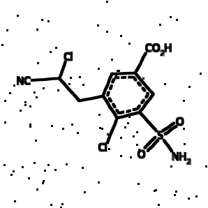 N#CC(Cl)Cc1cc(C(=O)O)cc(S(N)(=O)=O)c1Cl